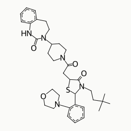 CC(C)(C)CCN1C(=O)C(CC(=O)N2CCC(N3CCc4ccccc4NC3=O)CC2)SC1c1ccccc1N1CCOCC1